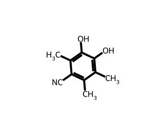 Cc1c(C)c(C#N)c(C)c(O)c1O